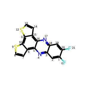 Fc1cc2nc3c4ccsc4c4sccc4c3nc2cc1F